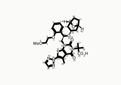 COCCOc1ccccc1[C@H](Cn1c(=O)n(C(C)(C)C(=O)O)c(=O)c2c(C)c(-n3nccn3)sc21)O[C@@H]1C[C@H]2CC[C@@H](C1)O2